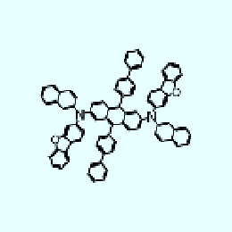 c1ccc(-c2ccc(-c3c4ccc(N(c5ccc6ccccc6c5)c5ccc6c(c5)oc5ccccc56)cc4c(-c4ccc(-c5ccccc5)cc4)c4ccc(N(c5ccc6ccccc6c5)c5ccc6c(c5)oc5ccccc56)cc34)cc2)cc1